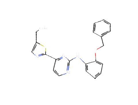 CC(=O)OCc1cnc(-c2ccnc(Nc3ccccc3OCc3ccccc3)n2)s1